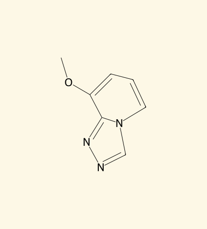 COc1cccn2cnnc12